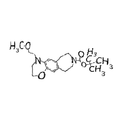 COCCN1CCOc2cc3c(cc21)CCN(C(=O)OC(C)(C)C)CC3